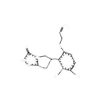 C=CCOc1ccc(Cl)c(Cl)c1C1Cc2n[nH]c(=O)n2C1